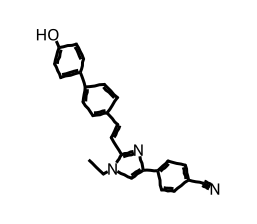 CCn1cc(-c2ccc(C#N)cc2)nc1C=Cc1ccc(-c2ccc(O)cc2)cc1